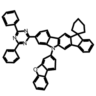 c1ccc(-c2nc(-c3ccccc3)nc(-c3ccc4c5cc6c(cc5n(-c5ccc7c(c5)oc5ccccc57)c4c3)-c3ccccc3C63CCCCC3)n2)cc1